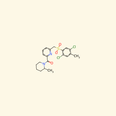 Cc1cc(Cl)c(S(=O)(=O)Cc2cccc(C(=O)N3CCCCC3C)n2)cc1Cl